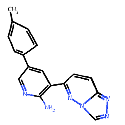 Cc1ccc(-c2cnc(N)c(-c3ccc4nncn4n3)c2)cc1